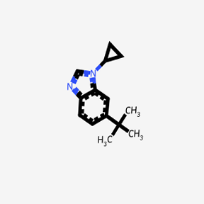 CC(C)(C)c1ccc2ncn(C3CC3)c2c1